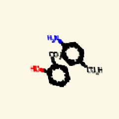 Nc1ccc(C(=O)O)cc1.O=C(O)c1ccccc1O